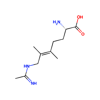 CC(=N)NC/C(C)=C(\C)CC[C@H](N)C(=O)O